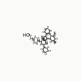 OCCN1CCN(c2cc(-c3ccccc3)nc3c(-c4cc(F)cc(F)c4)c(-c4ccccc4)nn23)CC1